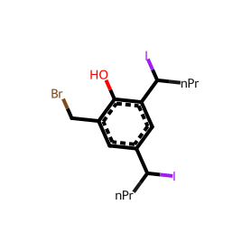 CCCC(I)c1cc(CBr)c(O)c(C(I)CCC)c1